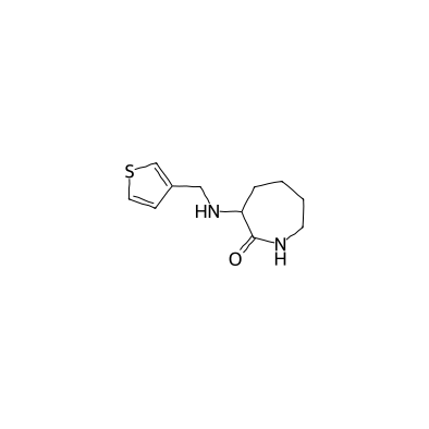 O=C1NCCCCC1NCc1ccsc1